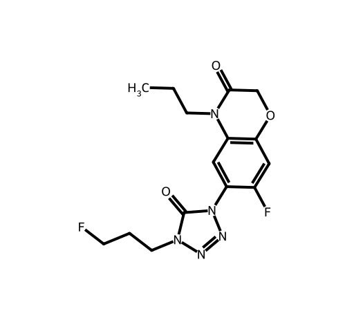 CCCN1C(=O)COc2cc(F)c(-n3nnn(CCCF)c3=O)cc21